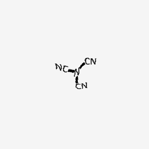 N#CN(C#N)C#N